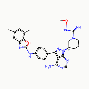 CONC(=N)N1CCC[C@@H](n2nc(-c3ccc(Nc4nc5cc(C)cc(C)c5o4)cc3)c3c(N)ncnc32)C1